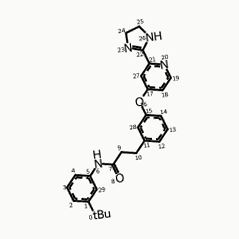 CC(C)(C)c1cccc(NC(=O)CCc2cccc(Oc3ccnc(C4=NCCN4)c3)c2)c1